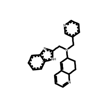 C1=CC2=CC(N(Cc3cccnc3)Cc3nc4ccccc4[nH]3)CCC2N=C1